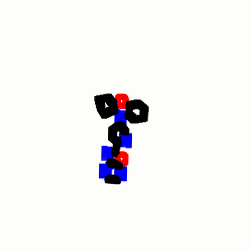 c1ccc2c(c1)Oc1ccccc1N2c1ccc(-c2nc3nccnc3o2)nc1